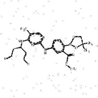 COC(=O)c1cc(Nc2ncc(C)c(NC(CCF)CCF)n2)ccc1B1OCC(C)(C)O1